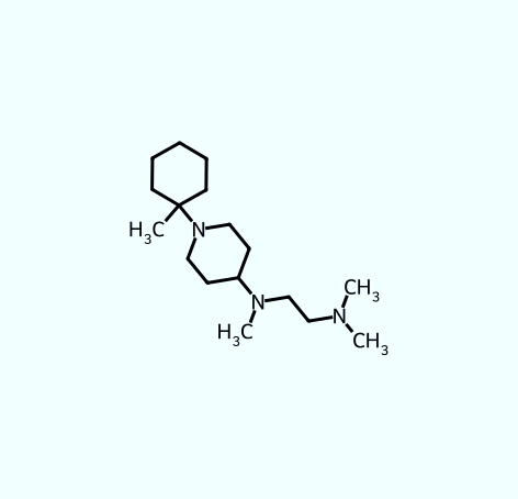 CN(C)CCN(C)C1CCN(C2(C)CCCCC2)CC1